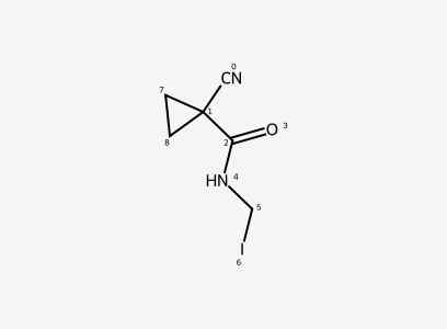 N#CC1(C(=O)NCI)CC1